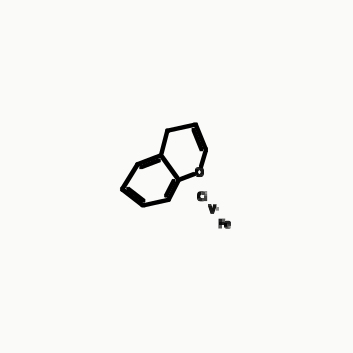 C1=COc2ccccc2C1.[C].[Fe].[V]